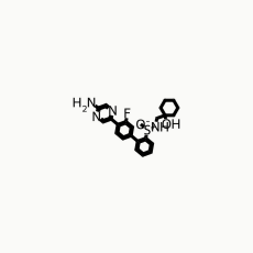 Nc1cnc(-c2ccc(-c3ccccc3[S+]([O-])NCC3(O)CCCCC3)cc2F)cn1